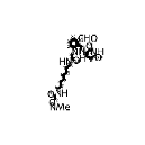 CNOCC(=O)NCCCCCCCCNC(=O)CNc1cccc(C=O)c1CNC1CCC(=O)NC1=O